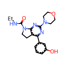 CCNC(=O)N1CCc2c(-c3cccc(O)c3)nc(N3CCOCC3)nc21